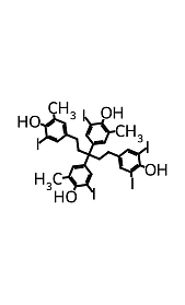 Cc1cc(CCC(CCc2cc(I)c(O)c(I)c2)(c2cc(C)c(O)c(I)c2)c2cc(C)c(O)c(I)c2)cc(I)c1O